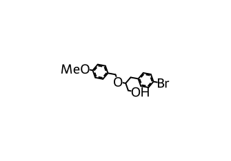 COc1ccc(COC(CO)Cc2ccc(Br)cc2)cc1